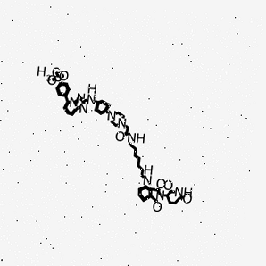 CS(=O)(=O)c1ccc(-c2cccc3nc(Nc4ccc(N5CCN(CC(=O)NCCCCCCCNc6cccc7c6C(=O)N(C6CCC(=O)NC6=O)C7=O)CC5)cc4)nn23)cc1